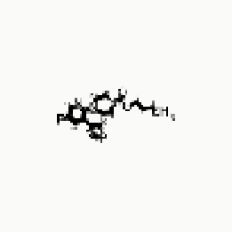 CCCCOC(=O)N1CCN(c2ncc(F)cc2-c2cscn2)CC1